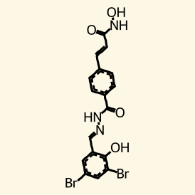 O=C(/C=C/c1ccc(C(=O)N/N=C/c2cc(Br)cc(Br)c2O)cc1)NO